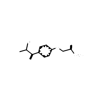 COC(=O)COc1ccc(C(=O)C(C)Br)cc1